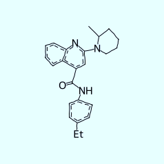 CCc1ccc(NC(=O)c2cc(N3CCCCC3C)nc3ccccc23)cc1